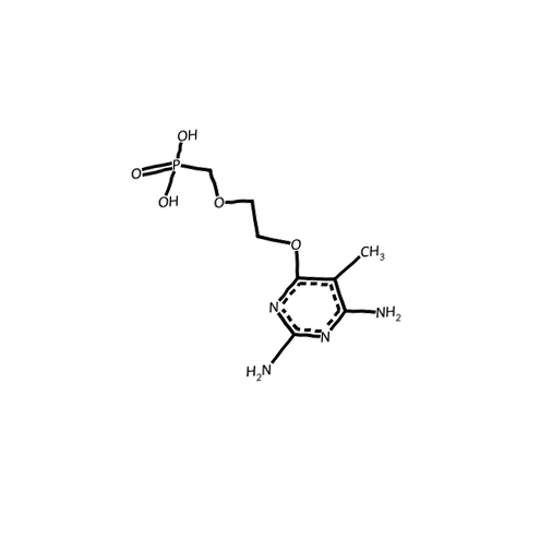 Cc1c(N)nc(N)nc1OCCOCP(=O)(O)O